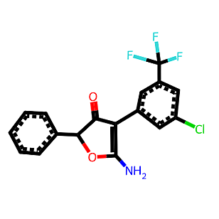 NC1=C(c2cc(Cl)cc(C(F)(F)F)c2)C(=O)C(c2ccccc2)O1